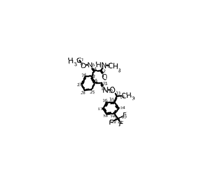 CNC(=O)/C(=N/OC)C1=C(/C=N/OC(C)c2cccc(C(F)(F)F)c2)CCC=C1